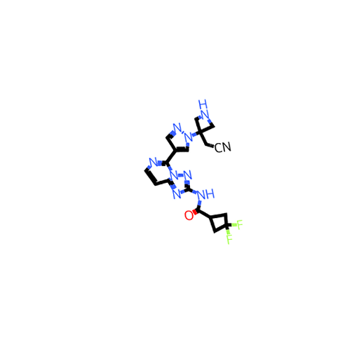 N#CCC1(n2cc(-c3nccc4nc(NC(=O)C5CC(F)(F)C5)nn34)cn2)CNC1